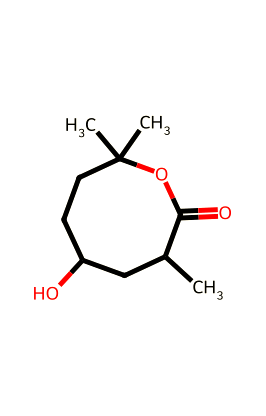 CC1CC(O)CCC(C)(C)OC1=O